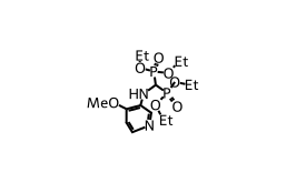 CCOP(=O)(OCC)C(Nc1cnccc1OC)P(=O)(OCC)OCC